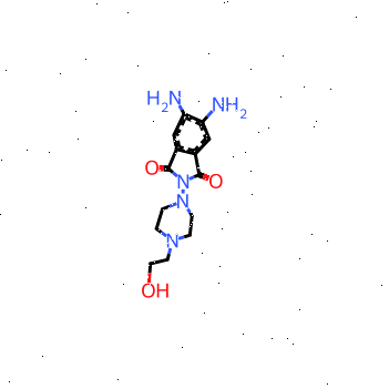 Nc1cc2c(cc1N)C(=O)N(N1CCN(CCO)CC1)C2=O